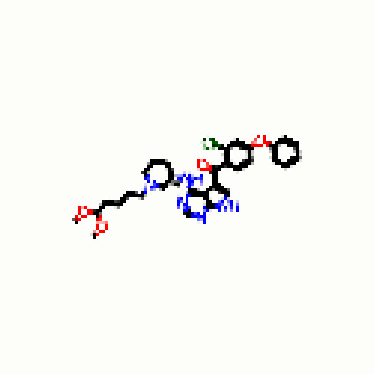 COC(CCCCN1CCC[C@@H](Nc2ncnc3[nH]cc(C(=O)c4ccc(Oc5ccccc5)cc4Cl)c23)C1)OC